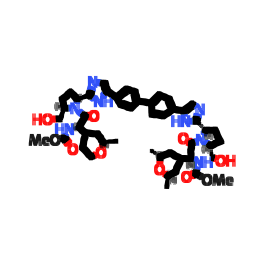 COC(=O)N[C@H](C(=O)N1[C@@H](CO)CC[C@H]1c1ncc(-c2ccc(-c3ccc(-c4cnc([C@@H]5CC[C@H](CO)N5C(=O)[C@@H](NC(=O)OC)C5C[C@@H](C)O[C@H](C)C5)[nH]4)cc3)cc2)[nH]1)C1CCO[C@H](C)C1